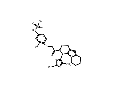 CCc1nc(C)c(C2c3c(nc4n3CCCC4)CCN2C(=O)COc2ccc(NS(C)(=O)=O)nc2Cl)s1